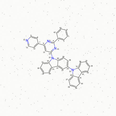 c1ccc(-c2nc(-c3ccncc3)cc(-n3c4ccccc4c4cc(-n5c6ccccc6c6ccccc65)ccc43)n2)cc1